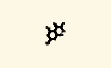 CCC(CC)C(=O)C1C(CC)CC(O)CC1CC